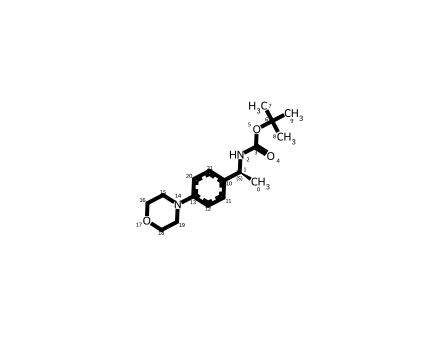 C[C@H](NC(=O)OC(C)(C)C)c1ccc(N2CCOCC2)cc1